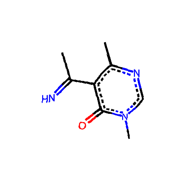 CC(=N)c1c(C)ncn(C)c1=O